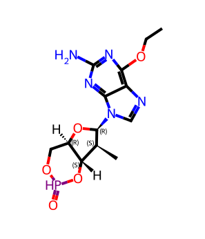 CCOc1nc(N)nc2c1ncn2[C@@H]1O[C@@H]2CO[PH](=O)O[C@H]2[C@@H]1C